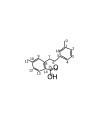 Cc1cccc(CCc2cc(C)ccc2C(=O)O)c1